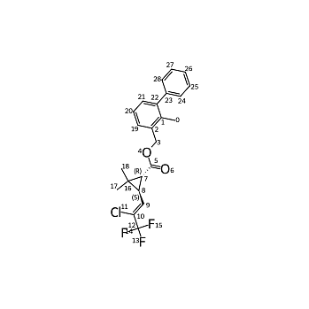 Cc1c(COC(=O)[C@@H]2[C@@H](C=C(Cl)C(F)(F)F)C2(C)C)cccc1-c1ccccc1